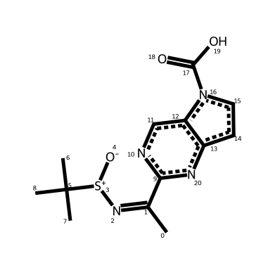 C/C(=N/[S+]([O-])C(C)(C)C)c1ncc2c(ccn2C(=O)O)n1